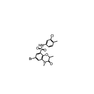 Cc1ccc(NS(=O)(=O)c2cc(Br)cc3c2OC(C)C(=O)N3C)cc1Cl